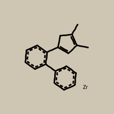 CC1=C(C)CC(c2ccccc2-c2ccccc2)=C1.[Zr]